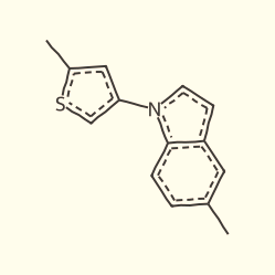 Cc1ccc2c(ccn2-c2csc(C)c2)c1